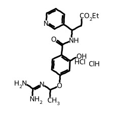 CCOC(=O)CC(NC(=O)c1ccc(OC(C)N=C(N)N)cc1O)c1cccnc1.Cl.Cl